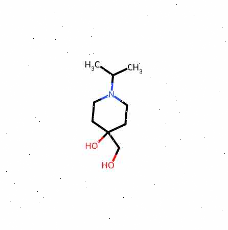 CC(C)N1CCC(O)(CO)CC1